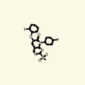 CS(=O)(=O)c1ncc2cc(Oc3ccccc3F)c(=O)n(-c3ccc(F)cc3)c2n1